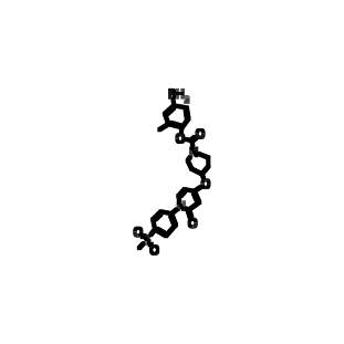 Bc1ccc(OC(=O)N2CCC(Oc3ccn(-c4ccc(S(C)(=O)=O)cc4)c(=O)c3)CC2)c(C)c1